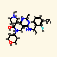 Cc1nc(N[C@H](C)c2cccc(C(F)(F)F)c2F)c2c(n1)C1(CCN(C)C1)C(=O)N(C1=CCOCC1)C2